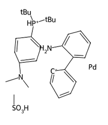 CN(C)c1ccc([PH+](C(C)(C)C)C(C)(C)C)cc1.CS(=O)(=O)O.Nc1ccccc1-c1[c-]cccc1.[Pd]